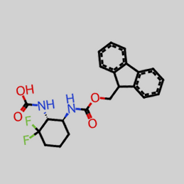 O=C(O)N[C@@H]1[C@@H](NC(=O)OCC2c3ccccc3-c3ccccc32)CCCC1(F)F